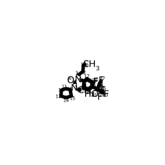 CCCCN(C(=O)N(CC)C1CCCCC1)c1ccc(C(O)(C(F)(F)F)C(F)(F)F)cc1